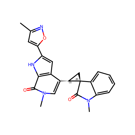 Cc1cc(-c2cc3c([C@@H]4C[C@@]45C(=O)N(C)c4ccccc45)cn(C)c(=O)c3[nH]2)on1